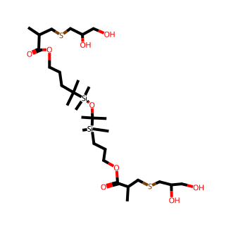 CC(CSCC(O)CO)C(=O)OCCCC(C)(C)[Si](C)(C)OC(C)(C)[Si](C)(C)CCCOC(=O)C(C)CSCC(O)CO